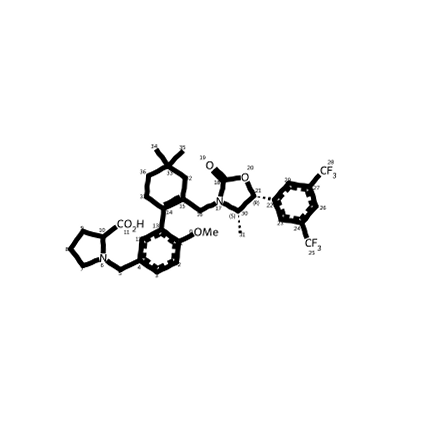 COc1ccc(CN2CCCC2C(=O)O)cc1C1=C(CN2C(=O)O[C@H](c3cc(C(F)(F)F)cc(C(F)(F)F)c3)[C@@H]2C)CC(C)(C)CC1